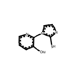 Oc1cccnc1-n1ccnc1S